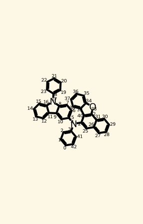 c1ccc(N(c2ccc3c(c2)c2ccccc2n3-c2ccccc2)c2cc3ccccc3c3oc4ccccc4c23)cc1